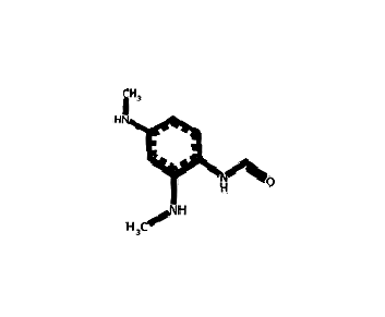 CNc1ccc(N[C]=O)c(NC)c1